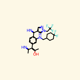 CC(=N)/C(=C(/C)O)c1ccc(C(=N)c2cnn(CC(F)(F)F)c2)c(NCC2CCC(F)(F)CC2)c1